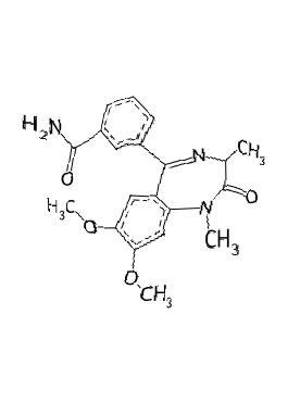 COc1cc2c(cc1OC)N(C)C(=O)C(C)N=C2c1cccc(C(N)=O)c1